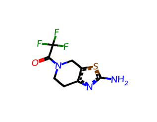 Nc1nc2c(s1)CN(C(=O)C(F)(F)F)CC2